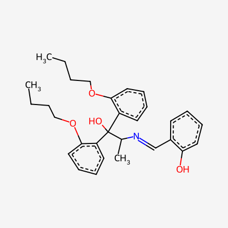 CCCCOc1ccccc1C(O)(c1ccccc1OCCCC)C(C)N=Cc1ccccc1O